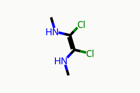 CN/C(Cl)=C(/Cl)NC